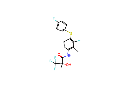 Cc1c(NC(=O)C(C)(O)C(F)(F)F)ccc(Sc2ccc(F)cc2)c1F